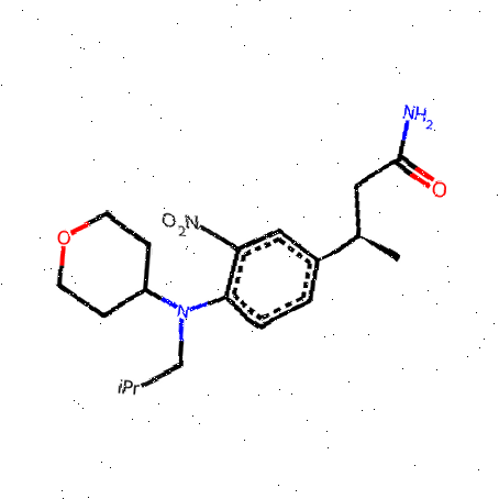 CC(C)CN(c1ccc([C@H](C)CC(N)=O)cc1[N+](=O)[O-])C1CCOCC1